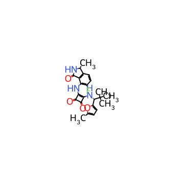 Cc1ccc([C@H](Nc2c(Nc3c(F)ccc4c3C(=O)N[C@H]4C)c(=O)c2=O)C(C)(C)C)o1